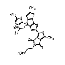 CCCCCCCCCCCCN1C(=O)c2c(C)sc(-c3cc4c(s3)-c3sc(C)cc3[Si]4(CC(CC)CCCC)c3ccc(CCCC)s3)c2C1=O